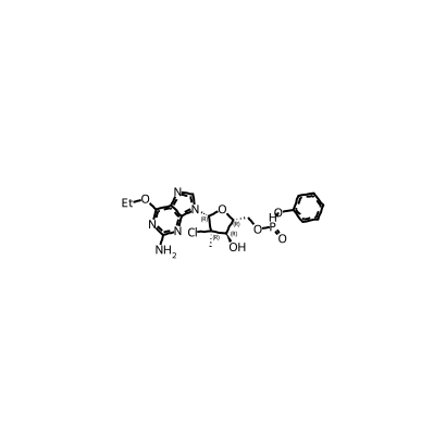 CCOc1nc(N)nc2c1ncn2[C@@H]1O[C@H](CO[PH](=O)Oc2ccccc2)[C@@H](O)[C@@]1(C)Cl